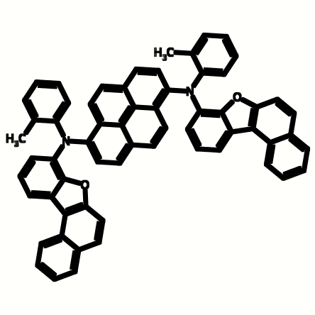 Cc1ccccc1N(c1ccc2ccc3c(N(c4ccccc4C)c4cccc5c4oc4ccc6ccccc6c45)ccc4ccc1c2c43)c1cccc2c1oc1ccc3ccccc3c12